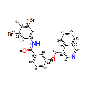 Cc1c(Br)cc(NC(=O)c2cccc(OCc3cncc4ccccc34)c2)cc1Br